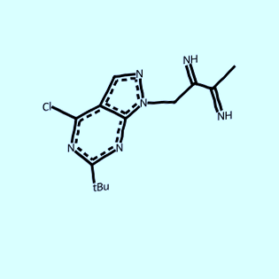 CC(=N)C(=N)Cn1ncc2c(Cl)nc(C(C)(C)C)nc21